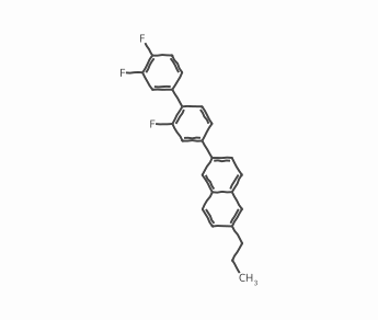 CCCc1ccc2cc(-c3ccc(-c4ccc(F)c(F)c4)c(F)c3)ccc2c1